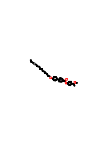 CCCCCCCCCCCCCCCOc1ccc(-c2ccc(C(=O)Oc3ccc(C(C)OC)cc3)cc2)cc1